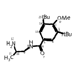 COc1c(C(C)(C)C)cc(C(=O)NCC(C)N)cc1C(C)(C)C